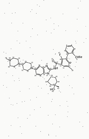 COc1ccccc1-c1nc(C)cc(C(=O)Nc2nc3cc(N4CCC(N5CCN(C)CC5)CC4)ccc3n2[C@H]2CC[C@@](C)(O)CC2)c1F